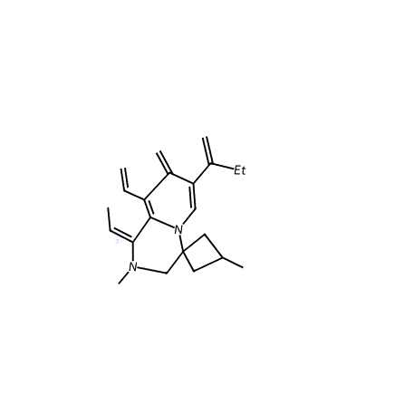 C=CC1=C2/C(=C\C)N(C)CC3(CC(C)C3)N2C=C(C(=C)CC)C1=C